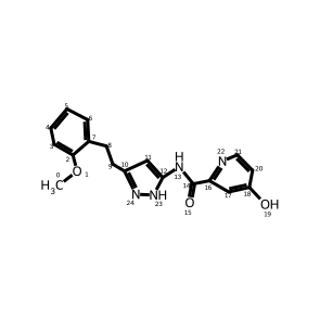 COc1ccccc1CCc1cc(NC(=O)c2cc(O)ccn2)[nH]n1